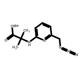 COC(=O)C(C)(C)Nc1cccc(CN=[N+]=[N-])n1